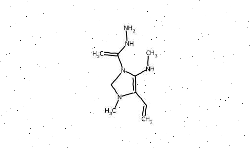 C=CC1=C(NC)N(C(=C)NN)CN1C